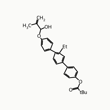 C=C(C)C(O)Oc1ccc(-c2ccc(-c3ccc(OC(=O)C(C)(C)C)cc3)cc2CC)cc1